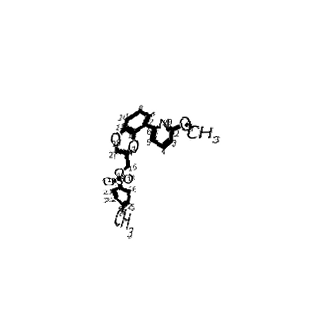 COc1cccc(-c2cccc3c2OC(COS(=O)(=O)c2ccc(C)cc2)CO3)n1